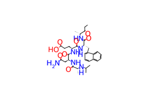 CCC(=O)[C@@H](C)NC(=O)[C@H](Cc1cccc2ccccc12)NC(=O)[C@H](CCC(=O)O)NC(=O)[C@H](CC(N)=O)NC(=O)[C@@H](C)NC(C)C